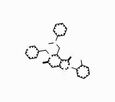 CN(Cc1c2c(=O)n(-c3ccccc3Cl)[nH]c2cc(=O)n1Cc1cccnc1)c1ccccc1